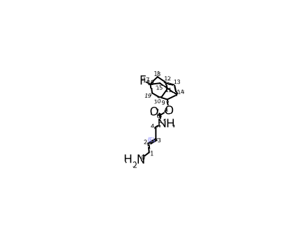 NC/C=C/CNC(=O)OC1C2CC3CC1CC(F)(C3)C2